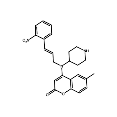 Cc1ccc2oc(=O)cc(N(CC=Cc3ccccc3[N+](=O)[O-])C3CCNCC3)c2c1